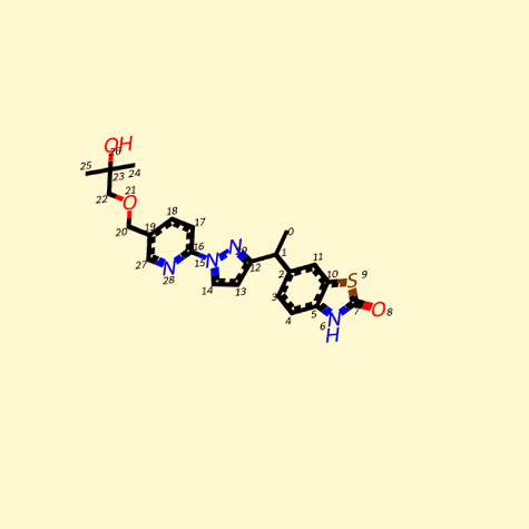 CC(c1ccc2[nH]c(=O)sc2c1)c1ccn(-c2ccc(COCC(C)(C)O)cn2)n1